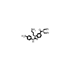 Bc1ccc(Nc2nc3ccc(C(=O)N(CC(C)C)CC(C)C)cc3n2CCCN)cc1